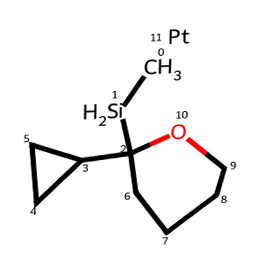 C[SiH2]C1(C2CC2)CCCCO1.[Pt]